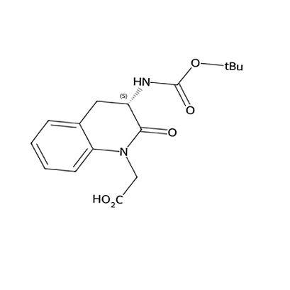 CC(C)(C)OC(=O)N[C@H]1Cc2ccccc2N(CC(=O)O)C1=O